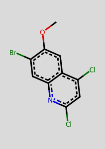 COc1cc2c(Cl)cc(Cl)nc2cc1Br